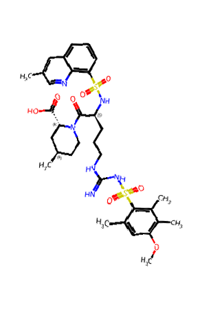 COc1cc(C)c(S(=O)(=O)NC(=N)NCCC[C@H](NS(=O)(=O)c2cccc3cc(C)cnc23)C(=O)N2CC[C@@H](C)C[C@@H]2C(=O)O)c(C)c1C